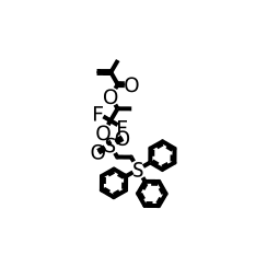 C=C(C)C(=O)OC(C)C(F)(F)OS(=O)(=O)CCS(c1ccccc1)(c1ccccc1)c1ccccc1